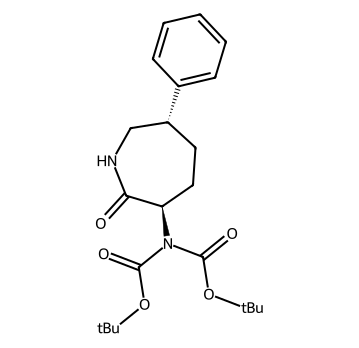 CC(C)(C)OC(=O)N(C(=O)OC(C)(C)C)[C@@H]1CC[C@@H](c2ccccc2)CNC1=O